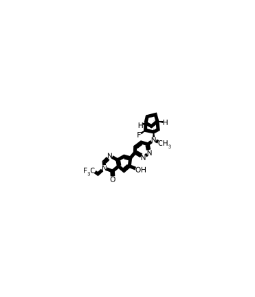 CN(c1ccc(-c2cc3ncn(CC(F)(F)F)c(=O)c3cc2O)nn1)[C@@H]1C[C@H]2CC[C@H](C2)[C@@H]1F